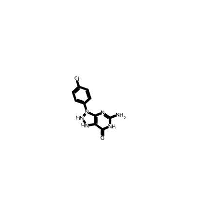 Nc1nc2c(c(=O)[nH]1)NNN2c1ccc(Cl)cc1